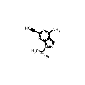 C#Cc1nc(N)c2cnn([C@@H](C)C(C)(C)C)c2n1